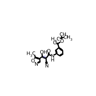 Cc1oncc1/C(O)=C(\C#N)C(=O)Nc1cccc(C(=O)OC(C)(C)C)c1